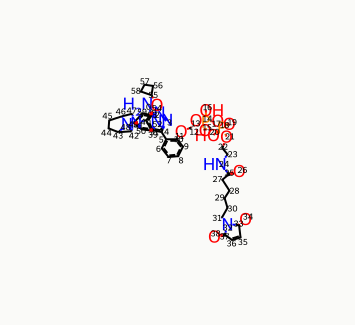 Nc1nnc(-c2ccccc2OCOP(=O)(O)OP(=O)(O)OCCNC(=O)CCCCCN2C(=O)C=CC2=O)cc1N1CC2CCC(C1)N2c1ccnc(OC2CCC2)c1